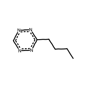 CCCCc1nncnn1